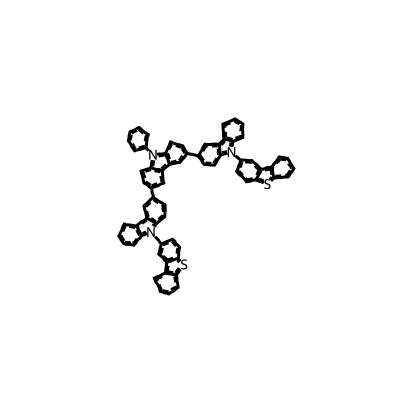 c1ccc(-n2c3ccc(-c4ccc5c(c4)c4ccccc4n5-c4ccc5sc6ccccc6c5c4)cc3c3cc(-c4ccc5c(c4)c4ccccc4n5-c4ccc5sc6ccccc6c5c4)ccc32)cc1